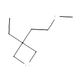 CCC1(CCOC)COC1